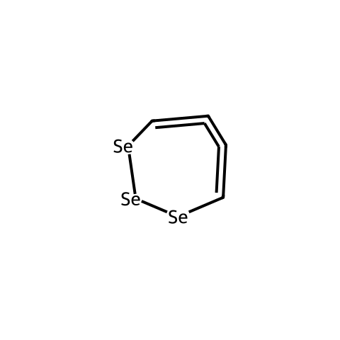 C1=C=C[Se][Se][Se]C=1